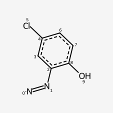 [N]=Nc1cc(Cl)ccc1O